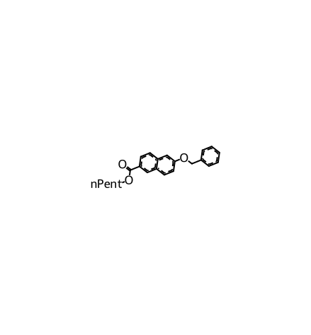 CCCCCOC(=O)c1ccc2cc(OCc3ccccc3)ccc2c1